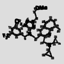 COCCn1nnc(N(Cc2cc(C(F)(F)F)cc(C(F)(F)F)c2)Cc2cc3cccc(C)c3nc2CN(C2CC2)C2CC2)n1